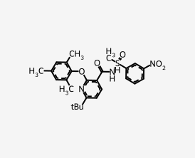 Cc1cc(C)c(Oc2nc(C(C)(C)C)ccc2C(=O)N[SH](C)(=O)c2cccc([N+](=O)[O-])c2)c(C)c1